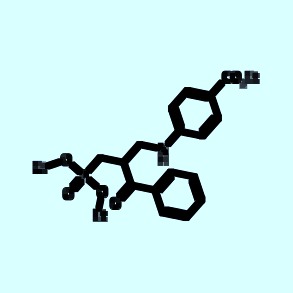 CCOC(=O)c1ccc(NCC(CP(=O)(OCC)OCC)C(=O)c2ccccc2)cc1